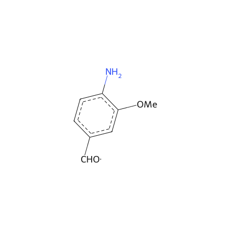 COc1cc([C]=O)ccc1N